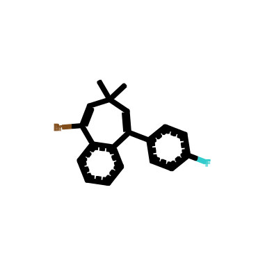 CC1(C)C=C(Br)c2ccccc2C(c2ccc(F)cc2)=C1